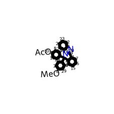 COc1ccc(C2(c3ccc(OC(C)=O)cc3)c3ccccc3-c3nc4ccccc4n32)cc1